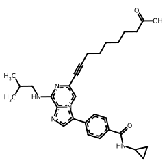 CC(C)CNc1nc(C#CCCCCCCC(=O)O)cn2c(-c3ccc(C(=O)NC4CC4)cc3)cnc12